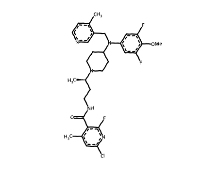 COc1c(F)cc(N(Cc2cnccc2C)C2CCN([C@H](C)CCNC(=O)c3c(C)cc(Cl)nc3F)CC2)cc1F